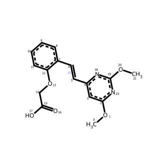 COc1cc(/C=C/c2ccccc2OCC(=O)O)nc(OC)n1